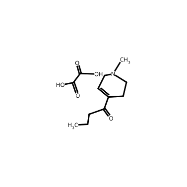 CCCC(=O)C1=CCN(C)CC1.O=C(O)C(=O)O